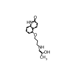 CC(O)=CNCCCOc1cccc2[nH]c(=O)ccc12